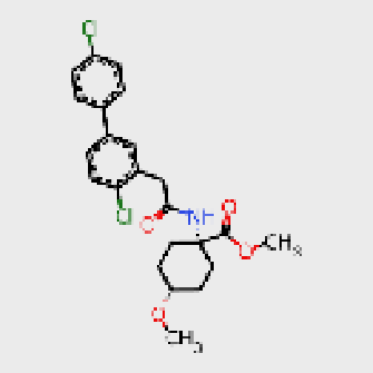 COC(=O)[C@]1(NC(=O)Cc2cc(-c3ccc(Cl)cc3)ccc2Cl)CC[C@@H](OC)CC1